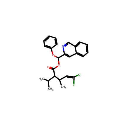 CC(C)C(C(=O)OC(Oc1ccccc1)c1cc2ccccc2cn1)C(C)C=C(Cl)Cl